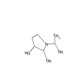 CC(O)N1CCC(O)C1O